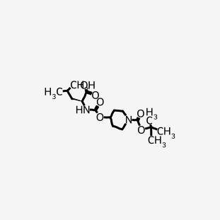 CC(C)C[C@H](NC(=O)OC1CCN(C(=O)OC(C)(C)C)CC1)C(=O)O